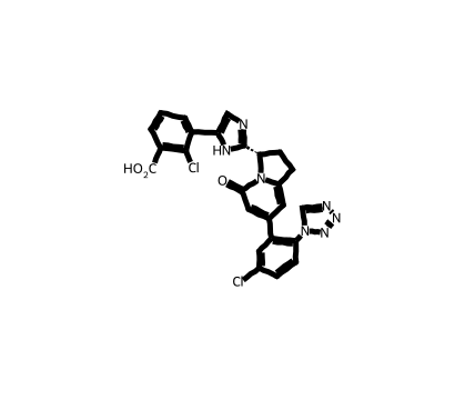 O=C(O)c1cccc(-c2cnc([C@@H]3CCc4cc(-c5cc(Cl)ccc5-n5cnnn5)cc(=O)n43)[nH]2)c1Cl